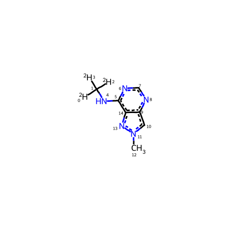 [2H]C([2H])([2H])Nc1ncnc2cn(C)nc12